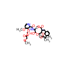 COCC(=O)OCOc1c(OC)ccnc1C(=O)N[C@H]1COC(=O)/C(=C/c2ccccc2)[C@@H](OC(=O)C(C)C)[C@H](C)OC1O